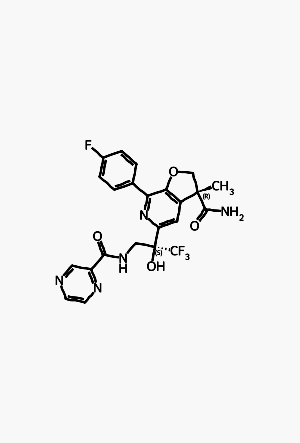 C[C@]1(C(N)=O)COc2c1cc([C@@](O)(CNC(=O)c1cnccn1)C(F)(F)F)nc2-c1ccc(F)cc1